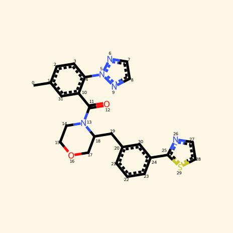 Cc1ccc(-n2nccn2)c(C(=O)N2CCOCC2Cc2cccc(-c3nccs3)c2)c1